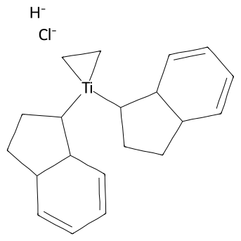 C1=CC2CC[CH]([Ti]3([CH]4CCC5C=CC=CC54)[CH2][CH2]3)C2C=C1.[Cl-].[H-]